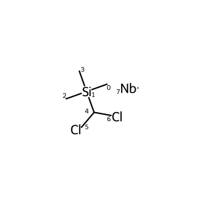 C[Si](C)(C)C(Cl)Cl.[Nb]